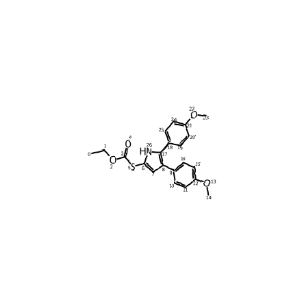 CCOC(=O)Sc1cc(-c2ccc(OC)cc2)c(-c2ccc(OC)cc2)[nH]1